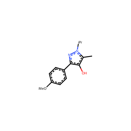 COc1ccc(-c2nn(C(C)C)c(C)c2O)cc1